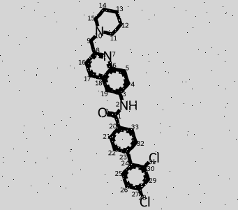 O=C(Nc1ccc2nc(CN3CCCCC3)ccc2c1)c1ccc(-c2ccc(Cl)cc2Cl)cc1